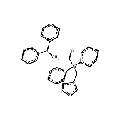 CB(c1ccccc1)c1ccccc1.CC(C)C[Si](Cn1ccnc1)(c1ccccc1)c1ccccc1